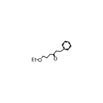 CCOCCCC(=O)CCc1ccccc1